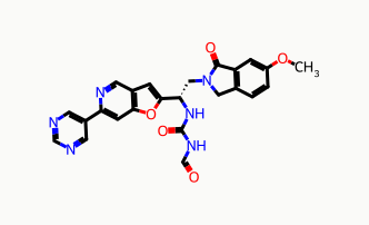 COc1ccc2c(c1)C(=O)N(C[C@H](NC(=O)NC=O)c1cc3cnc(-c4cncnc4)cc3o1)C2